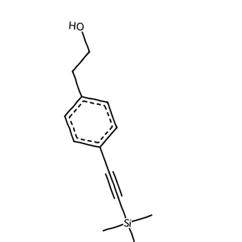 C[Si](C)(C)C#Cc1ccc(CCO)cc1